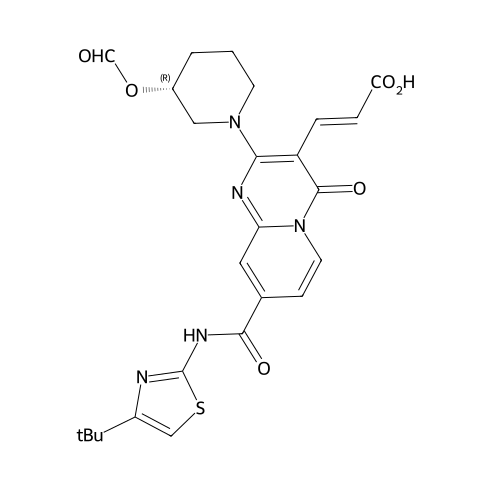 CC(C)(C)c1csc(NC(=O)c2ccn3c(=O)c(C=CC(=O)O)c(N4CCC[C@@H](OC=O)C4)nc3c2)n1